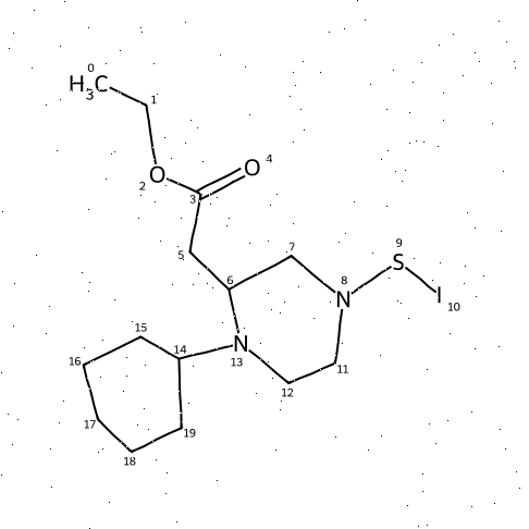 CCOC(=O)CC1CN(SI)CCN1C1CCCCC1